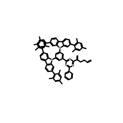 C=CCCC(=C)c1nc(-c2ccccc2)nc(-c2cc(-n3c4cc(-c5ccc(C)cc5)ccc4c4ccc(-c5c(C)cc(C)cc5C)cc43)cc(-n3c4cc(-c5c(C)cc(C)cc5C)ccc4c4ccc(-c5c(C)cc(C)cc5C)cc43)c2)n1